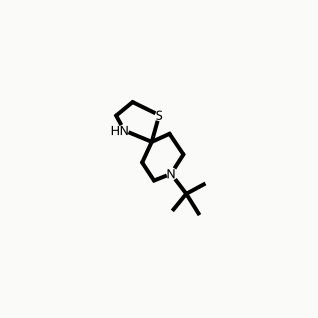 CC(C)(C)N1CCC2(CC1)NCCS2